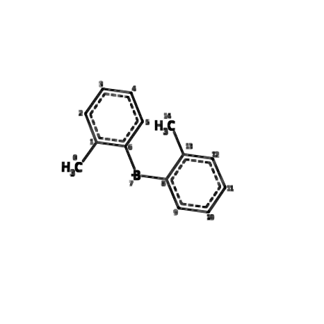 Cc1ccccc1[B]c1ccccc1C